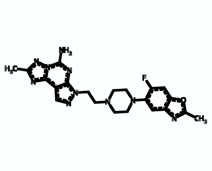 Cc1nc2c3cnn(CCN4CCN(c5cc6nc(C)oc6cc5F)CC4)c3nc(N)n2n1